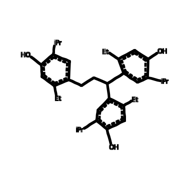 CCc1cc(O)c(C(C)C)cc1CCC(c1cc(C(C)C)c(O)cc1CC)c1cc(C(C)C)c(O)cc1CC